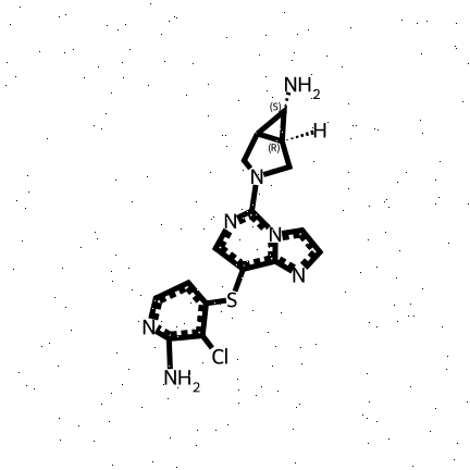 Nc1nccc(Sc2cnc(N3CC4[C@H](N)[C@H]4C3)n3ccnc23)c1Cl